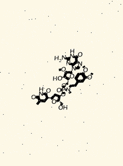 COc1ccc(CCN(C)P(=O)(OC[C@H]2O[C@@H](n3cnc4c(=O)[nH]c(N)nc43)C(OC)[C@H]2O)O[C@@H]2C[C@H](C3C=C(C)C(=O)NC3=O)O[C@@H]2CO)cc1OC